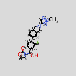 Cn1ncc(N2Cc3ccc(-c4ccc(C(O)N5CCOC5=O)cc4F)cc3C2)n1